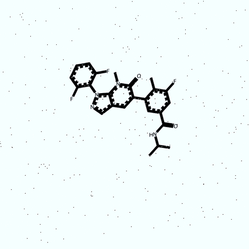 Cc1c(F)cc(C(=O)NC(C)C)cc1-c1cc2cnn(-c3c(F)cccc3F)c2n(C)c1=O